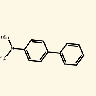 CCCCN(C)c1ccc(-c2ccccc2)cc1